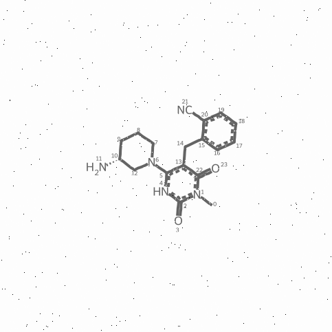 Cn1c(=O)[nH]c(N2CCC[C@@H](N)C2)c(Cc2ccccc2C#N)c1=O